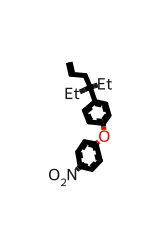 C=CCC(CC)(CC)c1ccc(Oc2ccc([N+](=O)[O-])cc2)cc1